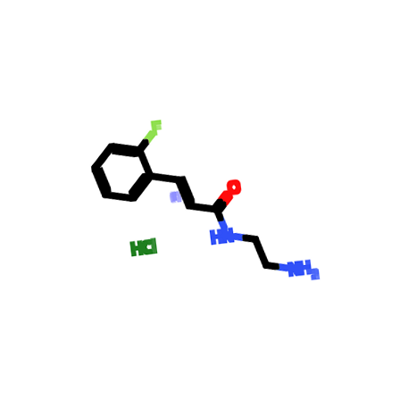 Cl.NCCNC(=O)/C=C/c1ccccc1F